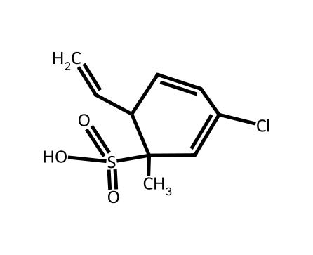 C=CC1C=CC(Cl)=CC1(C)S(=O)(=O)O